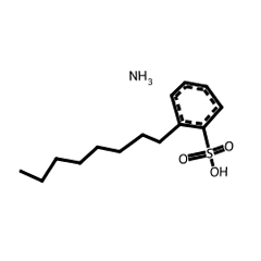 CCCCCCCCc1ccccc1S(=O)(=O)O.N